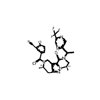 CC(c1cnc(C(F)(F)F)cn1)N1C[C@@H](C)n2nc3c(c2C1=O)CN(C(=O)c1ccc(Cl)c(C#N)c1)[C@H](C)C3